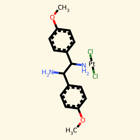 COc1ccc(C(N)C(N)c2ccc(OC)cc2)cc1.[Cl][Pt][Cl]